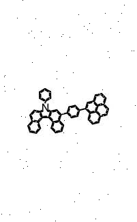 c1ccc(-n2c3ccc4ccccc4c3c3c4ccccc4c(-c4ccc(-c5cc6cccc7ccc8cccc5c8c76)cc4)cc32)cc1